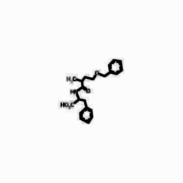 CC(CCOCc1ccccc1)C(=O)NC(Cc1ccccc1)C(=O)O